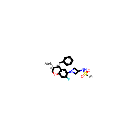 CCCS(=O)(=O)NC1CN(c2cc3c(cc2F)OC[C@H](NC)[C@@H]3Cc2ccccc2)C1